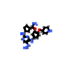 N=Nc1cnc(N[C@@H]2CC[C@@H](C(N)=O)C2)nc1Nc1ccc(OC2CCNCC2)cc1